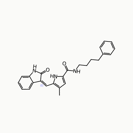 Cc1cc(C(=O)NCCCCc2ccccc2)[nH]c1/C=C1\C(=O)Nc2ccccc21